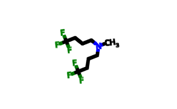 CN(CCCC(F)(F)F)CCCC(F)(F)F